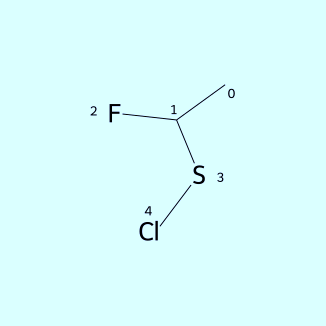 CC(F)SCl